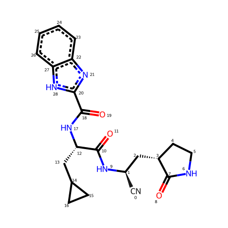 N#C[C@H](C[C@@H]1CCNC1=O)NC(=O)[C@H](CC1CC1)NC(=O)c1nc2ccccc2[nH]1